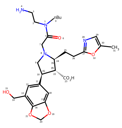 CCCCN(CCN)C(=O)CN1C[C@H](c2cc(CO)c3c(c2)OCO3)[C@@H](C(=O)O)[C@@H]1CCc1ncc(C)o1